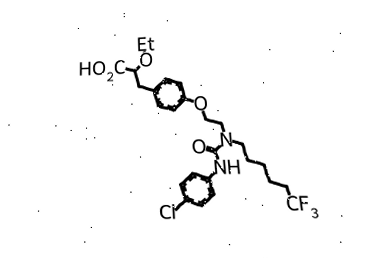 CCOC(Cc1ccc(OCCN(CCCCCC(F)(F)F)C(=O)Nc2ccc(Cl)cc2)cc1)C(=O)O